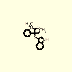 CCC(Sc1c[nH]c2ccccc12)(C(=O)OC)c1ccccc1